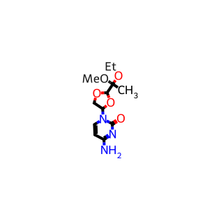 CCOC(C)(OC)C1OCC(n2ccc(N)nc2=O)O1